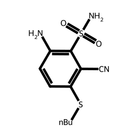 CCCCSc1ccc(N)c(S(N)(=O)=O)c1C#N